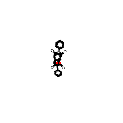 O=c1c2ccc(c(=O)n1-c1ccccc1)c1c3ccc(c(=O)n(-c4ccccc4)c3=O)c21